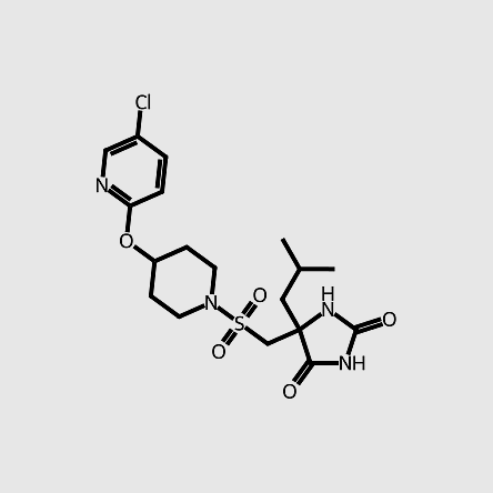 CC(C)CC1(CS(=O)(=O)N2CCC(Oc3ccc(Cl)cn3)CC2)NC(=O)NC1=O